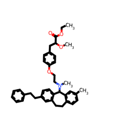 CCOC(=O)C(Cc1ccc(OCCN(C)C2c3ccc(CCc4ccccc4)cc3CCc3ccc(C)cc32)cc1)OC